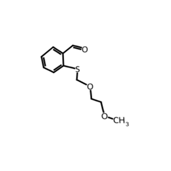 COCCOCSc1ccccc1C=O